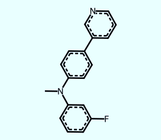 CN(c1ccc(-c2cccnc2)cc1)c1cccc(F)c1